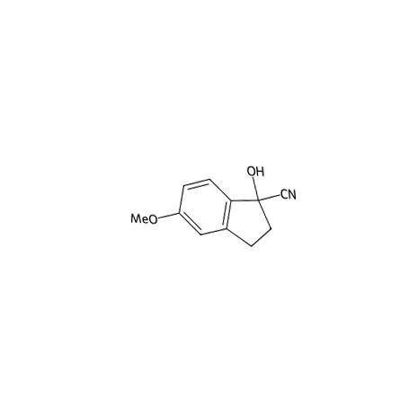 COc1ccc2c(c1)CCC2(O)C#N